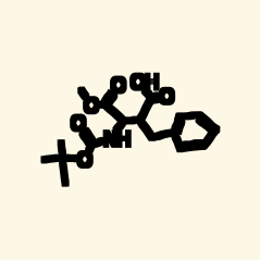 COC(=O)C(NC(=O)OC(C)(C)C)C(Cc1ccccc1)C(=O)O